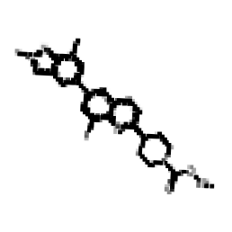 CCCCOC(=O)N1CCC(c2ccc3cc(-c4cc(C)c5nn(C)cc5c4)cc(F)c3n2)CC1